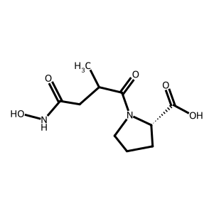 CC(CC(=O)NO)C(=O)N1CCC[C@H]1C(=O)O